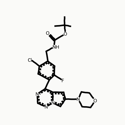 CC(C)(C)OC(=O)NCc1cc(F)c(-c2ncnn3cc(N4CCOCC4)cc23)cc1Cl